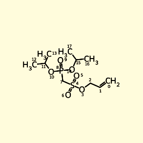 C=CCOS(=O)(=O)CP(=O)(OC(C)C)OC(C)C